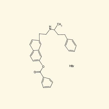 Br.CC(CCc1ccccc1)NCCc1ccc2ccc(OC(=O)c3ccccc3)cc2c1